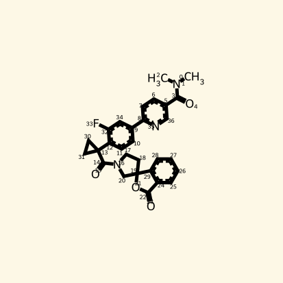 CN(C)C(=O)c1ccc(-c2ccc(C3(C(=O)N4CCC5(C4)OC(=O)c4ccccc45)CC3)c(F)c2)nc1